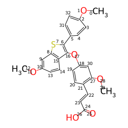 COc1ccc(-c2sc3cc(OC)ccc3c2Oc2ccc(C=CC(=O)O)c(OC)c2)cc1